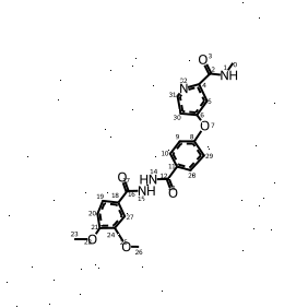 CNC(=O)c1cc(Oc2ccc(C(=O)NNC(=O)c3ccc(OC)c(OC)c3)cc2)ccn1